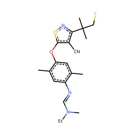 CCN(C)C=Nc1cc(C)c(Oc2snc(C(C)(C)CF)c2C#N)cc1C